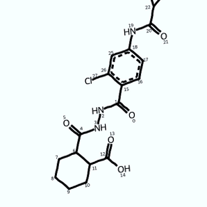 O=C(NNC(=O)C1CCCCC1C(=O)O)c1ccc(NC(=O)C2CC2)cc1Cl